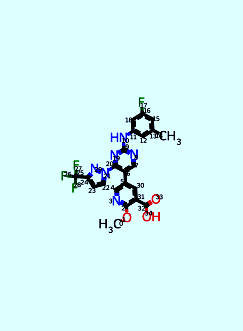 COc1ncc(-c2cnc(Nc3cc(C)cc(F)c3)nc2-n2ccc(C(F)(F)F)n2)cc1C(=O)O